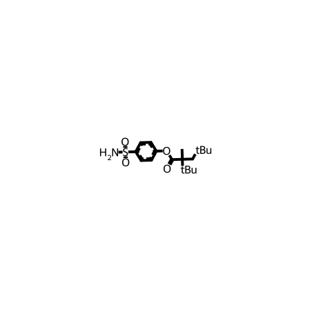 CC(C)(C)CC(C)(C(=O)Oc1ccc(S(N)(=O)=O)cc1)C(C)(C)C